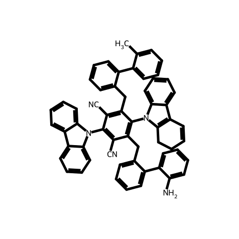 Cc1ccccc1-c1ccccc1Cc1c(C#N)c(-n2c3ccccc3c3ccccc32)c(C#N)c(Cc2ccccc2-c2ccccc2N)c1-n1c2c(c3ccccc31)C=CCC2